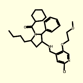 CCCCC1CC(NCc2cc(Cl)ncc2OCCOC)C(c2ccccc2)N1C(=O)C1CCCCC1